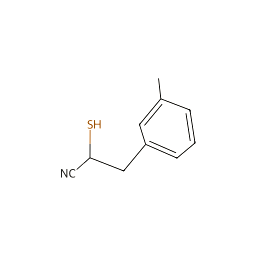 Cc1cccc(CC(S)C#N)c1